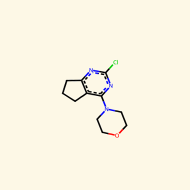 Clc1nc2c(c(N3CCOCC3)n1)CCC2